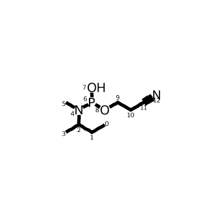 CCC(C)N(C)P(O)OCCC#N